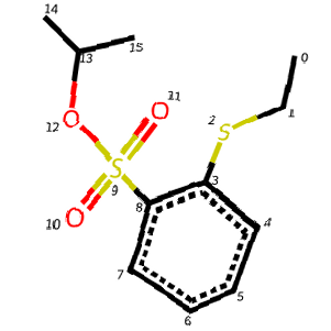 CCSc1ccccc1S(=O)(=O)OC(C)C